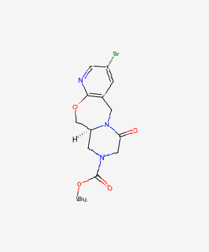 CC(C)(C)OC(=O)N1CC(=O)N2Cc3cc(Br)cnc3OC[C@@H]2C1